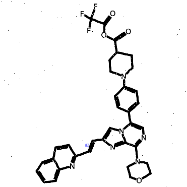 O=C(OC(=O)C(F)(F)F)C1CCN(c2ccc(-c3cnc(N4CCOCC4)c4nc(/C=C/c5ccc6ccccc6n5)cn34)cc2)CC1